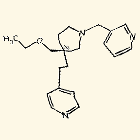 CCOC[C@@]1(CCc2ccncc2)CCN(Cc2cccnc2)C1